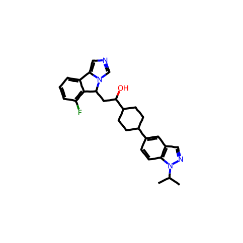 CC(C)n1ncc2cc(C3CCC(C(O)CC4c5c(F)cccc5-c5cncn54)CC3)ccc21